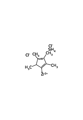 CC1=C(C)C(C)[C]([Zr+2])=C1C.[Cl-].[Cl-].[SiH4]